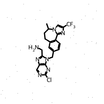 CC1CCc2cc(Cn3c(CN)nc4cnc(Cl)nc43)ccc2-c2nc(C(F)(F)F)cn21